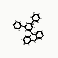 c1ccc(-c2cc(N3c4ccccc4Cc4ccccc43)cc(-c3ccccc3)n2)cc1